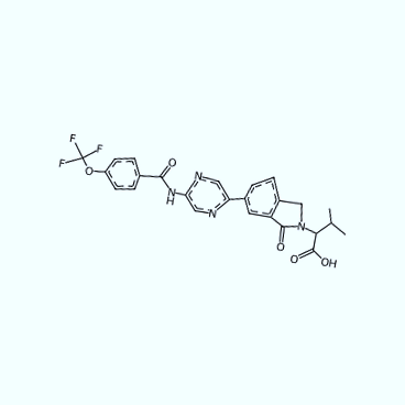 CC(C)C(C(=O)O)N1Cc2ccc(-c3cnc(NC(=O)c4ccc(OC(F)(F)F)cc4)cn3)cc2C1=O